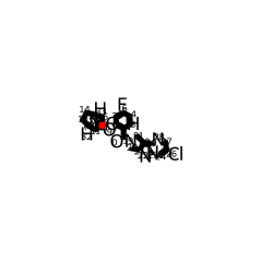 O=C(c1ccc(F)cc1O[C@@H]1C[C@H]2CC[C@@H](C1)N2C(=O)O)N1Cc2nn3cc(Cl)cnc3c2C1